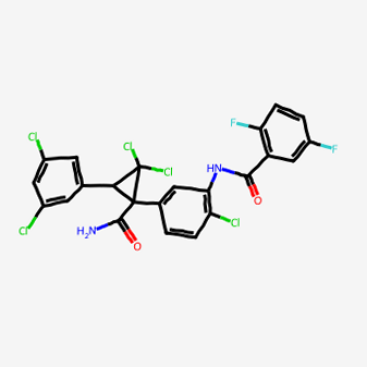 NC(=O)C1(c2ccc(Cl)c(NC(=O)c3cc(F)ccc3F)c2)C(c2cc(Cl)cc(Cl)c2)C1(Cl)Cl